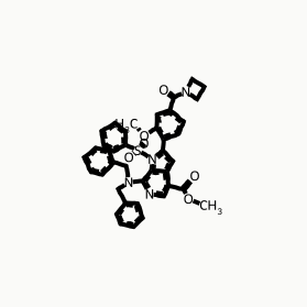 COC(=O)c1cnc(N(Cc2ccccc2)Cc2ccccc2)c2c1cc(-c1ccc(C(=O)N3CCC3)cc1OC)n2S(=O)(=O)c1ccccc1